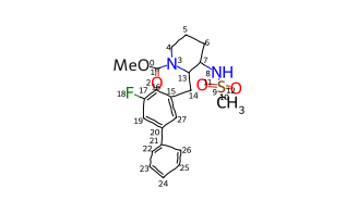 COC(=O)N1CCCC(NS(C)(=O)=O)C1Cc1cc(F)cc(-c2ccccc2)c1